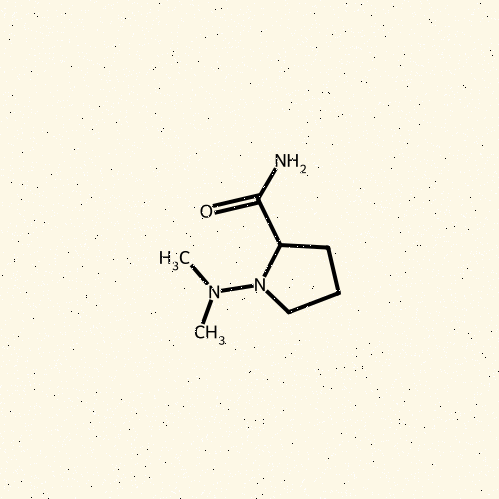 CN(C)N1CCCC1C(N)=O